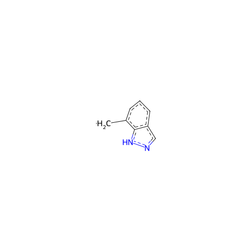 [CH2]c1cccc2cn[nH]c12